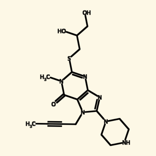 CC#CCn1c(N2CCNCC2)nc2nc(SCC(O)CO)n(C)c(=O)c21